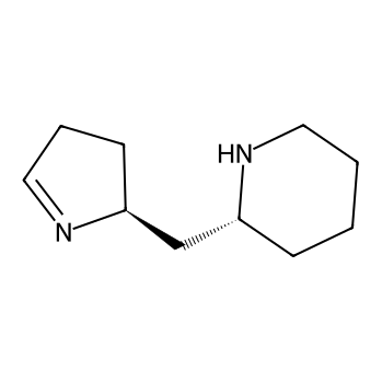 C1=N[C@H](C[C@H]2CCCCN2)CC1